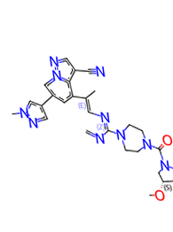 C=N/C(=N\C=C(/C)c1cc(-c2cnn(C)c2)cn2ncc(C#N)c12)N1CCN(C(=O)N2CC[C@H](OC)C2)CC1